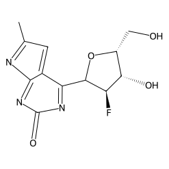 CC1=NC2=NC(=O)N=C(C3O[C@H](CO)[C@H](O)[C@H]3F)C2=C1